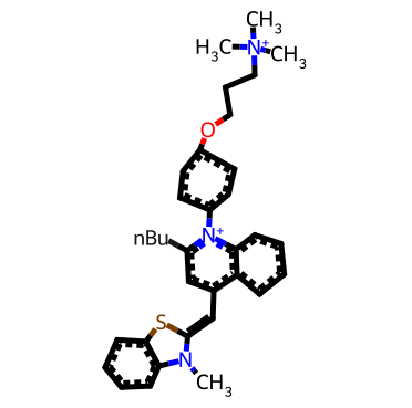 CCCCc1cc(/C=C2\Sc3ccccc3N2C)c2ccccc2[n+]1-c1ccc(OCCC[N+](C)(C)C)cc1